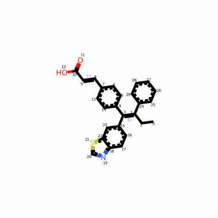 CC/C(=C(/c1ccc(/C=C/C(=O)O)cc1)c1ccc2ncsc2c1)c1ccccc1